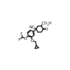 N#CC1(c2ccc(OC(F)F)c(OCC3CC3)c2)CCC(=O)C(C(=O)O)C1